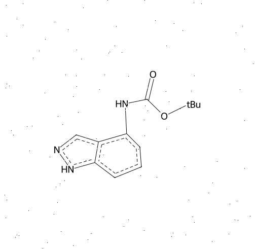 CC(C)(C)OC(=O)Nc1cccc2[nH]ncc12